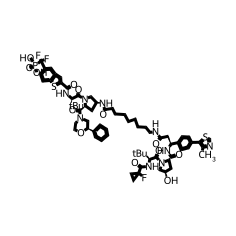 Cc1ncsc1-c1ccc([C@H](CC(=O)NCCCCCCCCC(=O)N[C@H]2C[C@@H](C(=O)N3CCO[C@H](c4ccccc4)C3)N(C(=O)[C@@H](NC(=O)c3cc4cc(C(F)(F)P(=O)(O)O)ccc4s3)C(C)(C)C)C2)NC(=O)[C@@H]2C[C@@H](O)CN2C(=O)[C@@H](NC(=O)C2(F)CC2)C(C)(C)C)cc1